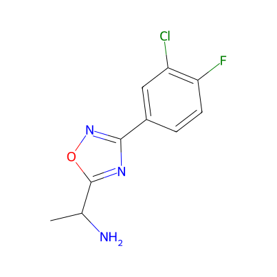 CC(N)c1nc(-c2ccc(F)c(Cl)c2)no1